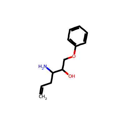 C=CCC(N)C(O)COc1ccccc1